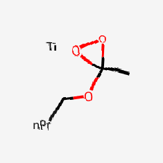 CCCCOC1(C)OO1.[Ti]